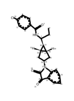 CCC(NC(=O)c1ccc(Cl)cc1)[C@H]1[C@@H]2C[C@@H](N3C(=O)C(=O)c4ccccc43)C[C@@H]21